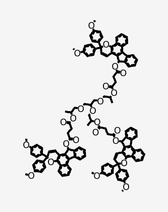 COc1ccc(C2(c3ccc(OC)cc3)C=Cc3c4c(c5ccccc5c3O2)-c2ccccc2C4OC(=O)CCC(=O)OC(C)COCC(COCC(C)OC(=O)CCC(=O)OC2c3ccccc3-c3c2c2c(c4ccccc34)OC(c3ccc(OC)cc3)(c3ccc(OC)cc3)C=C2)OCC(C)OC(=O)CCC(=O)OC2c3ccccc3-c3c2c2c(c4ccccc34)OC(c3ccc(OC)cc3)(c3ccc(OC)cc3)C=C2)cc1